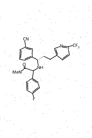 CNC(=O)C(N[C@@H](CCc1ccc(C(F)(F)F)nc1)c1cccc(C#N)c1)c1ccc(F)cc1